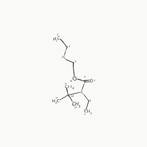 CCCCOC(=O)C(CC)C(C)(C)C